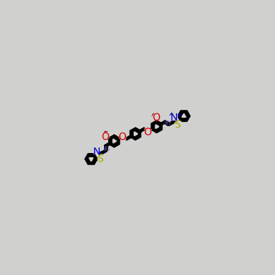 COc1cc(OCc2ccc(COc3ccc(/C=C/c4sc5ccccc5[n+]4C)c(OC)c3)cc2)ccc1/C=C/c1nc2ccccc2s1